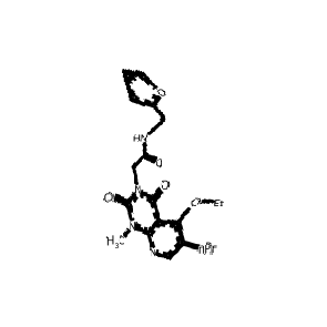 CCCc1cnc2c(c1OCC)c(=O)n(CC(=O)NCc1ccco1)c(=O)n2C